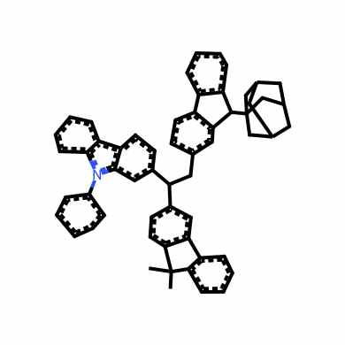 CC1(C)c2ccccc2-c2cc(C(Cc3ccc4c(c3)C(C35CC6CC(CC(C6)C3)C5)c3ccccc3-4)c3ccc4c5ccccc5n(-c5ccccc5)c4c3)ccc21